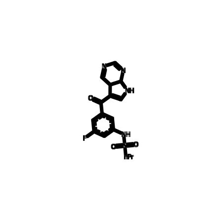 CCCS(=O)(=O)Nc1cc(F)cc(C(=O)C2=CNC3N=CN=CC23)c1